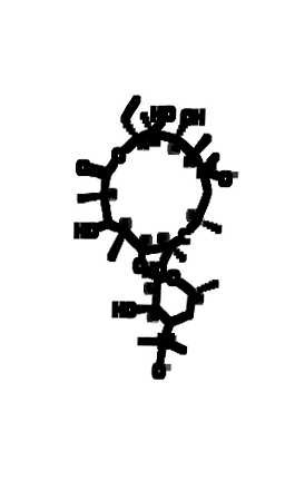 CC[C@H]1OC(=O)[C@H](C)C(O)[C@H](C)[C@@H](O[C@@H]2O[C@H](C)CC([N+](C)(C)[O-])[C@H]2O)[C@](C)(O)C[C@@H](C)C[N+](C)([O-])[C@H](C)[C@@H](O)[C@]1(C)O